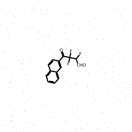 O=CC(F)C(F)(F)C(=O)c1ccc2ccccc2c1